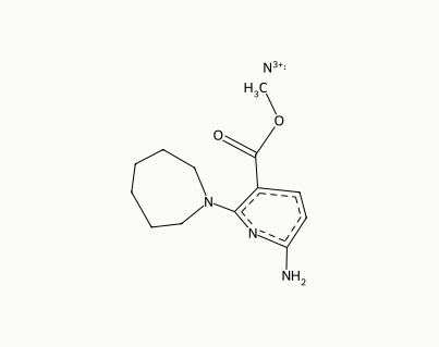 COC(=O)c1ccc(N)nc1N1CCCCCC1.[N+3]